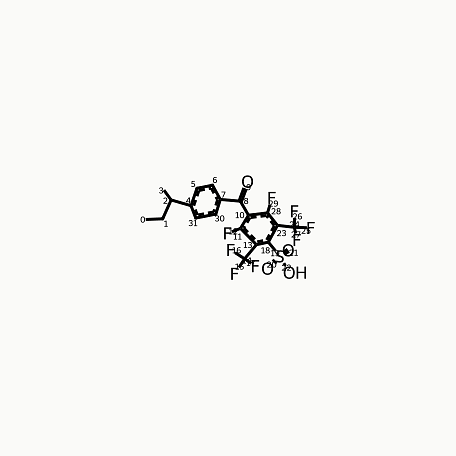 CCC(C)c1ccc(C(=O)c2c(F)c(C(F)(F)F)c(S(=O)(=O)O)c(C(F)(F)F)c2F)cc1